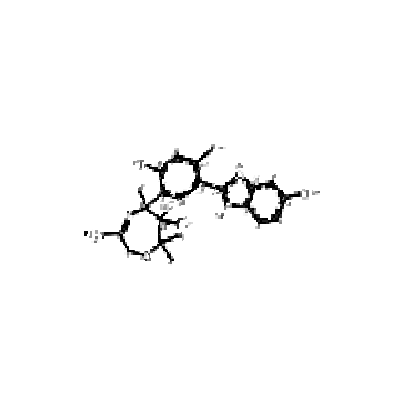 CC1(C)OCC(N)=NC(C)(c2cc(-c3nc4ccc(Cl)cc4o3)c(F)cc2F)C1(F)F